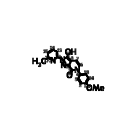 COc1ccc(-n2ccc3c(O)n(-c4cccc(C)n4)nc3c2=O)cc1